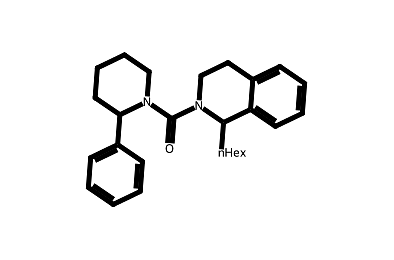 CCCCCCC1c2ccccc2CCN1C(=O)N1CCCCC1c1ccccc1